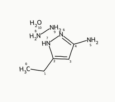 CCc1cc(N)n[nH]1.NN.O